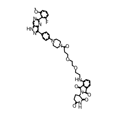 COc1cccc(F)c1-c1ncc2[nH]nc(-c3ccc(N4CCN(C(=O)CCOCCOCCNc5cccc6c5C(=O)N(C5CCC(=O)NC5=O)C6=O)CC4)cc3)c2n1